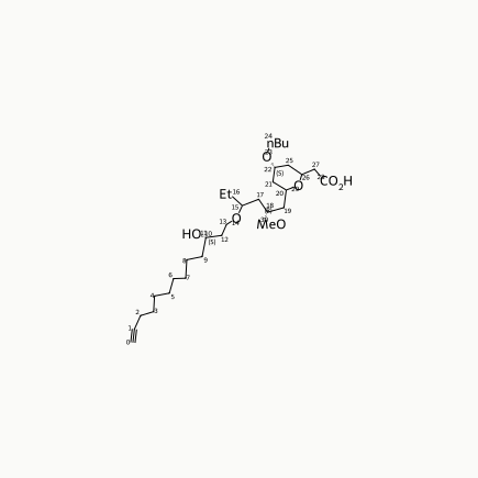 C#CCCCCCCCC[C@H](O)CCOC(CC)C[C@H](CC1C[C@H](OCCCC)CC(CC(=O)O)O1)OC